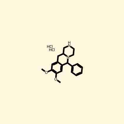 COc1cc2c(cc1OC)C(c1ccccc1)N1CCNCC1C2.Cl.Cl